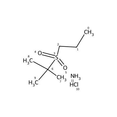 CCCS(=O)(=O)C(C)(C)C.Cl.N